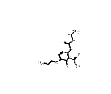 C=CCOc1ccc(CC(=O)CCS(=O)(=O)O)c(C(N)=O)c1Cl